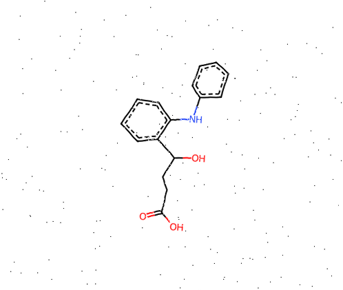 O=C(O)CCC(O)c1ccccc1Nc1ccccc1